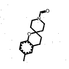 Cc1ccc2c(c1)CCC1(CCN(C=O)CC1)O2